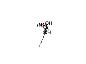 CCC=CCC=CCC=CCC=CCC=CCC=CCCC(=O)NCCC(=O)Oc1ccc(-c2sc3cc(O)ccc3c2C(=O)c2ccc(OCCN3CCOCC3)cc2)cc1